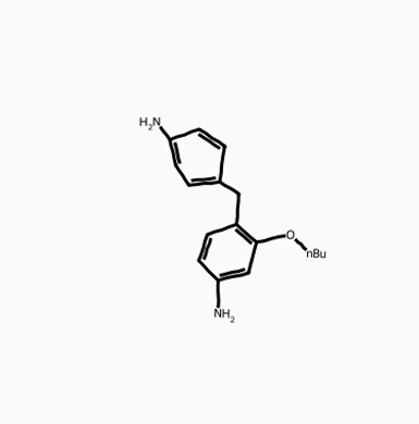 CCCCOc1cc(N)ccc1Cc1ccc(N)cc1